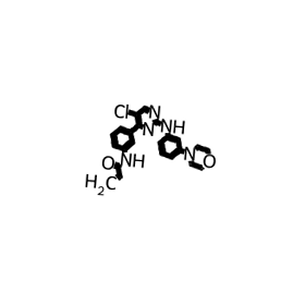 C=CC(=O)Nc1cccc(-c2nc(Nc3cccc(N4CCOCC4)c3)ncc2Cl)c1